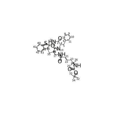 CNC(=O)C(Cc1ccccc1)N(C)C(=O)[C@@H](CNC(=O)C=CCC(C)(C)NC(=O)OC(C)(C)C)Cc1csc2ccccc12